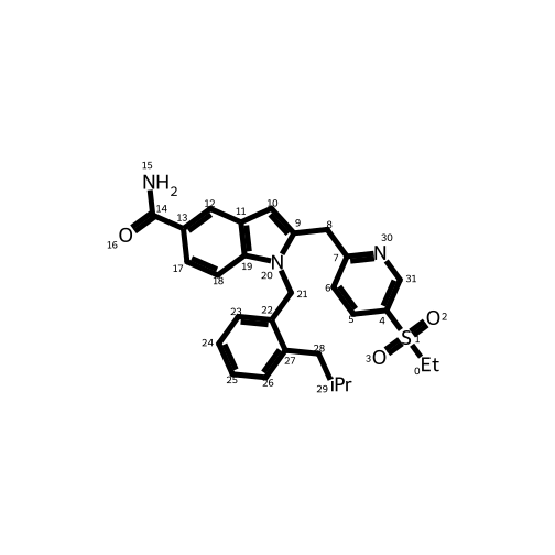 CCS(=O)(=O)c1ccc(Cc2cc3cc(C(N)=O)ccc3n2Cc2ccccc2CC(C)C)nc1